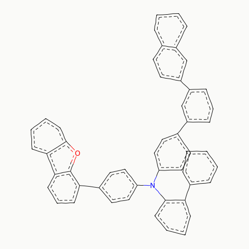 c1ccc(-c2ccccc2N(c2ccc(-c3cccc(-c4ccc5ccccc5c4)c3)cc2)c2ccc(-c3cccc4c3oc3ccccc34)cc2)cc1